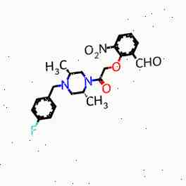 C[C@@H]1CN(Cc2ccc(F)cc2)[C@@H](C)CN1C(=O)COc1c(C=O)cccc1[N+](=O)[O-]